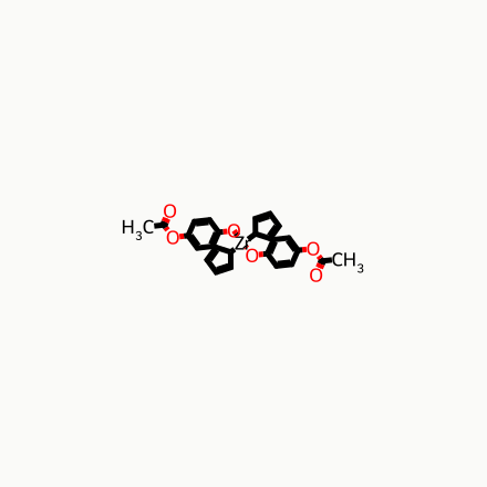 CC(=O)Oc1ccc([O][Zr]([O]c2ccc(OC(C)=O)cc2)([CH]2C=CC=C2)[CH]2C=CC=C2)cc1